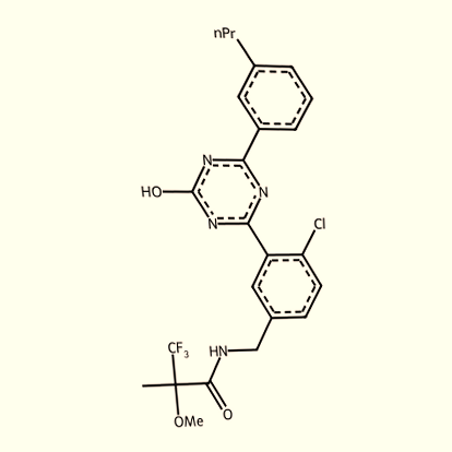 CCCc1cccc(-c2nc(O)nc(-c3cc(CNC(=O)C(C)(OC)C(F)(F)F)ccc3Cl)n2)c1